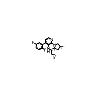 COCC(=O)Nc1c(-c2cc(F)ccc2F)ccnc1N1CC[C@H](F)C1